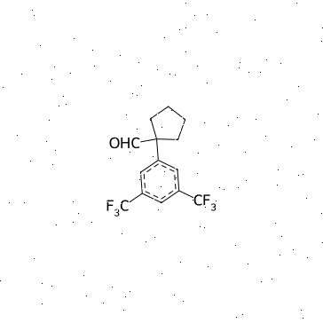 O=CC1(c2cc(C(F)(F)F)cc(C(F)(F)F)c2)CCCC1